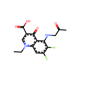 CCn1cc(C(=O)O)c(=O)c2c(NCC(C)=O)c(F)c(F)cc21